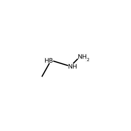 CBNN